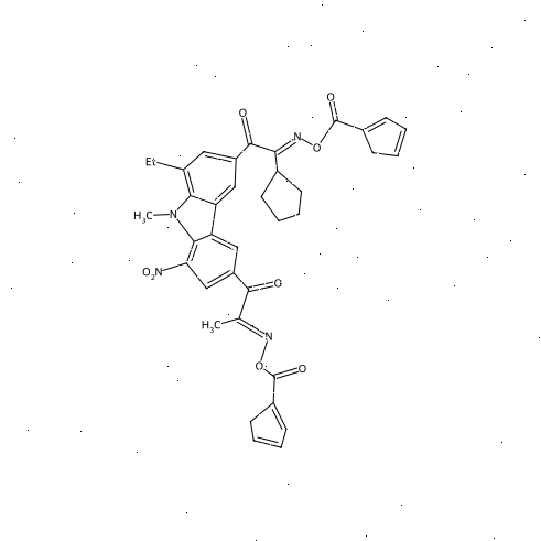 CCc1cc(C(=O)/C(=N/OC(=O)C2=CC=CC2)C2CCCC2)cc2c3cc(C(=O)/C(C)=N/OC(=O)C4=CC=CC4)cc([N+](=O)[O-])c3n(C)c12